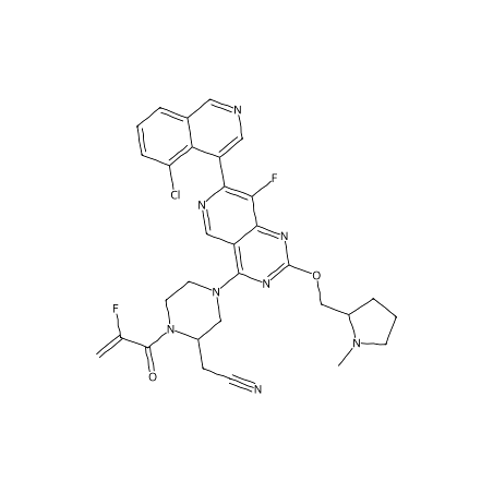 C=C(F)C(=O)N1CCN(c2nc(OCC3CCCN3C)nc3c(F)c(-c4cncc5cccc(Cl)c45)ncc23)CC1CC#N